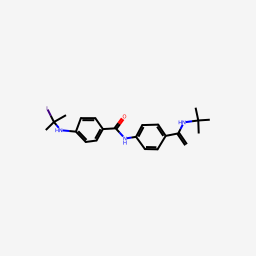 C=C(NC(C)(C)C)c1ccc(NC(=O)c2ccc(NC(C)(C)I)cc2)cc1